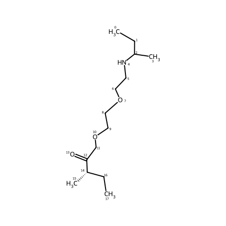 CCC(C)NCCOCCOCC(=O)[C@@H](C)CC